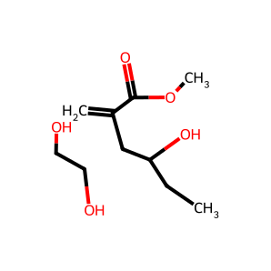 C=C(CC(O)CC)C(=O)OC.OCCO